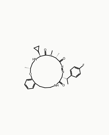 CC(c1ccc(F)cc1)[C@H]1N=NC(=O)[C@@H](C)N(C)C(=O)[C@H](C2CC2)NC[C@@H](C)Oc2ccccc2CCCNC1=O